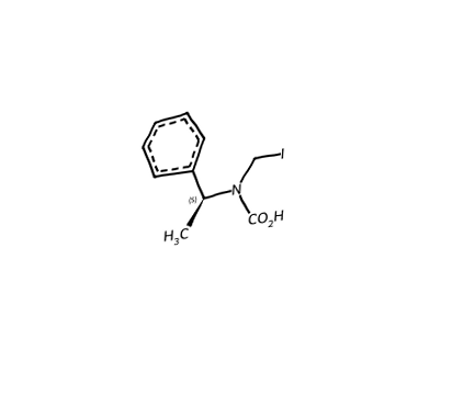 C[C@@H](c1ccccc1)N(CI)C(=O)O